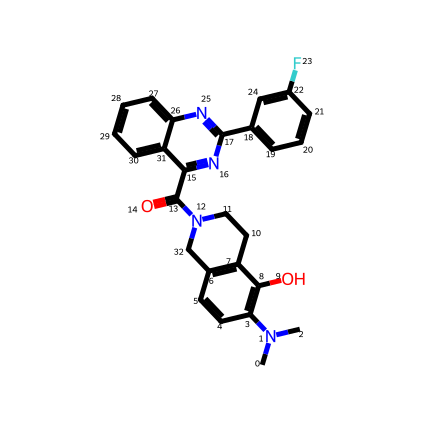 CN(C)c1ccc2c(c1O)CCN(C(=O)c1nc(-c3cccc(F)c3)nc3ccccc13)C2